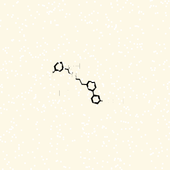 Cl.O=C(O)c1cccc(-c2cccc(CCCNC[C@H](O)c3cccc(Cl)c3)c2)c1